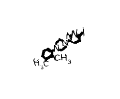 Cc1cccc(N2CCN(c3ccc(I)nn3)CC2)c1C